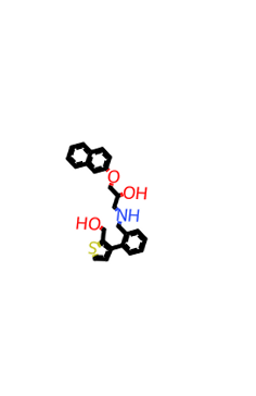 OCc1sccc1-c1ccccc1CNCC(O)COc1ccc2ccccc2c1